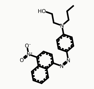 CCCN(CCO)c1ccc(/N=N\c2ccc([N+](=O)[O-])c3ccccc23)cc1